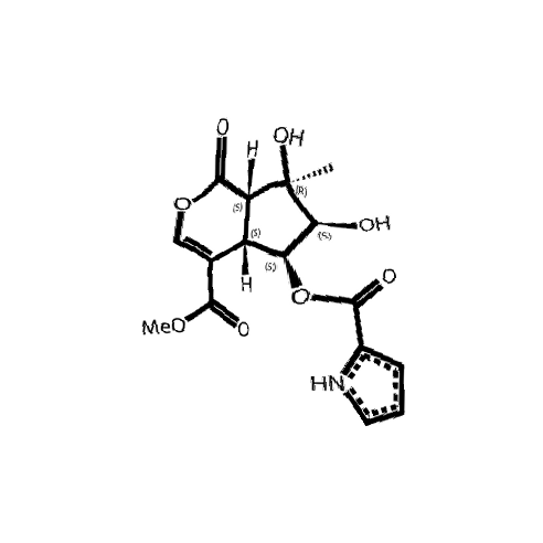 COC(=O)C1=COC(=O)[C@H]2[C@@H]1[C@H](OC(=O)c1ccc[nH]1)[C@H](O)[C@]2(C)O